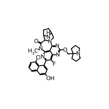 CN1C(=O)C2C3CCC(CN2c2nc(OCC45CCCN4CCC5)nc4c(F)c(-c5cc(O)cc6cccc(Cl)c56)nc1c24)N3